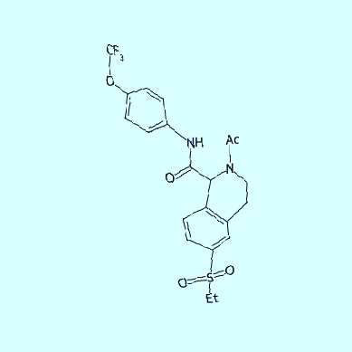 CCS(=O)(=O)c1ccc2c(c1)CCN(C(C)=O)C2C(=O)Nc1ccc(OC(F)(F)F)cc1